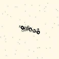 COc1ccccc1N1CCN(c2ccc(S(=O)(=O)NC(=O)c3ccc(F)cc3Cl)cn2)CC1